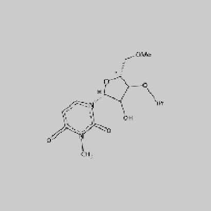 COC[C@H]1O[C@@H](n2ccc(=O)n(C)c2=O)C(O)C1OC(C)C